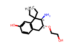 CCC1(CC)c2cc(O)ccc2C[C@@H](OCCO)[C@@H]1N